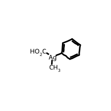 [CH3][Ag]([C](=O)O)[c]1ccccc1